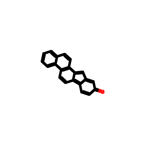 O=C1C=CC2=c3ccc4c(ccc5ccccc54)c3=CC2=C1